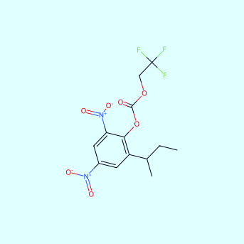 CCC(C)c1cc([N+](=O)[O-])cc([N+](=O)[O-])c1OC(=O)OCC(F)(F)F